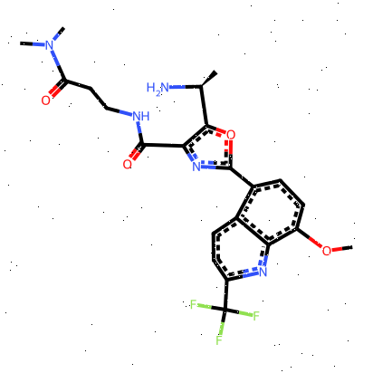 COc1ccc(-c2nc(C(=O)NCCC(=O)N(C)C)c([C@H](C)N)o2)c2ccc(C(F)(F)F)nc12